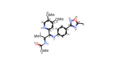 COC(=O)N=C(SC)C(=Nc1ccc(-c2noc(C)n2)cc1)c1cc(OC)c(OC)cn1